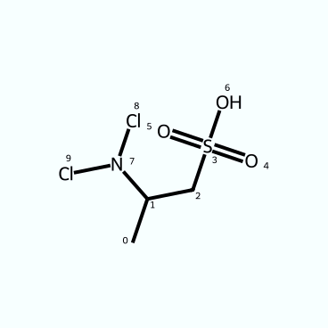 CC(CS(=O)(=O)O)N(Cl)Cl